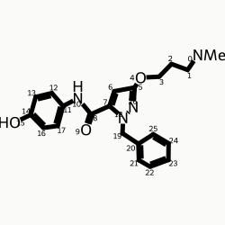 CNCCCOc1cc(C(=O)Nc2ccc(O)cc2)n(Cc2ccccc2)n1